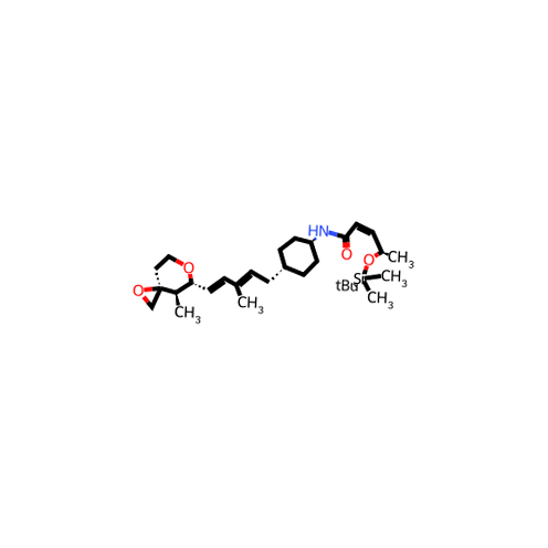 CC(/C=C/[C@H]1OCC[C@@]2(CO2)[C@@H]1C)=C\C[C@H]1CC[C@@H](NC(=O)/C=C\[C@H](C)O[Si](C)(C)C(C)(C)C)CC1